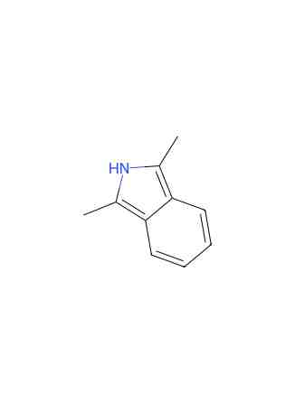 Cc1[nH]c(C)c2ccccc12